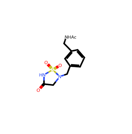 CC(=O)NCc1cccc(CN2CC(=O)NS2(=O)=O)c1